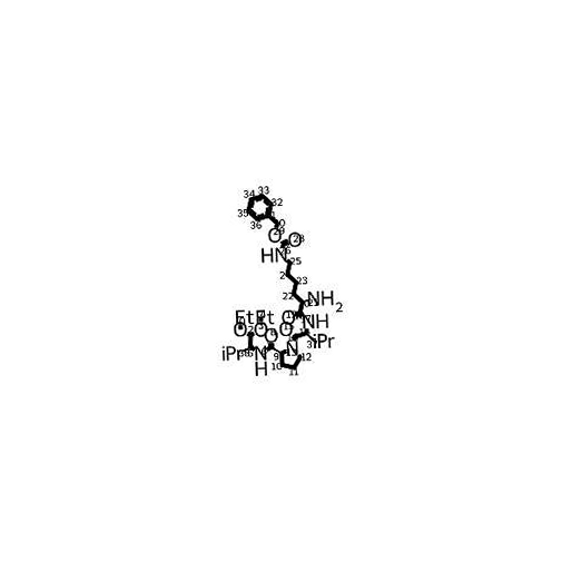 CCOC(OCC)[C@@H](NC(=O)[C@@H]1CCCN1C(=O)[C@@H](NC(=O)[C@@H](N)CCCCNC(=O)OCc1ccccc1)C(C)C)C(C)C